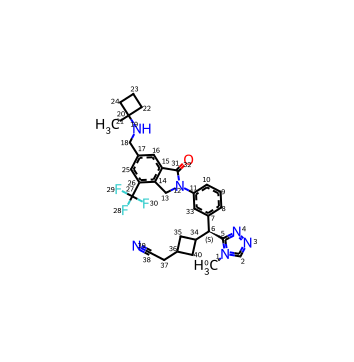 Cn1cnnc1[C@H](c1cccc(N2Cc3c(cc(CNC4(C)CCC4)cc3C(F)(F)F)C2=O)c1)C1CC(CC#N)C1